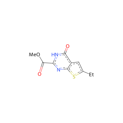 CCc1cc2c(=O)[nH]c(C(=O)OC)nc2s1